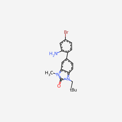 Cn1c(=O)n(CC(C)(C)C)c2ccc(-c3ccc(Br)cc3N)cc21